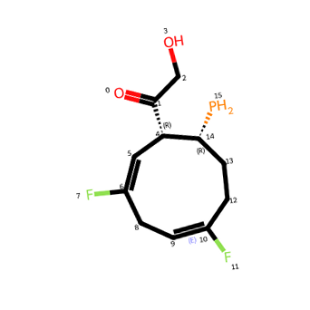 O=C(CO)[C@H]1C=C(F)C/C=C(/F)CC[C@H]1P